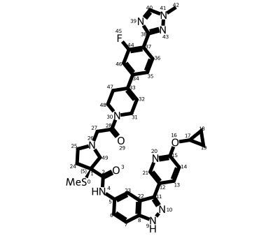 CS[C@@]1(C(=O)Nc2ccc3[nH]nc(-c4ccc(OC5CC5)nc4)c3c2)CCN(CC(=O)N2CC=C(c3ccc(-c4ncn(C)n4)c(F)c3)CC2)C1